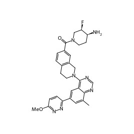 COc1ccc(-c2cc(C)c3ncnc(N4CCc5ccc(C(=O)N6CC[C@H](N)[C@H](F)C6)cc5C4)c3c2)nn1